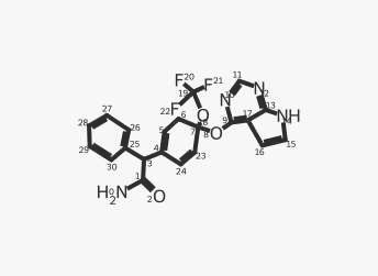 NC(=O)C(C1=CCC(Oc2ncnc3[nH]ccc23)(OC(F)(F)F)C=C1)c1ccccc1